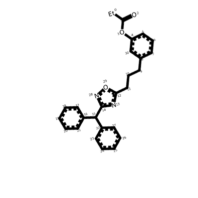 CCC(=O)Oc1cccc(CCCc2nc(C(c3ccccc3)c3ccccc3)no2)c1